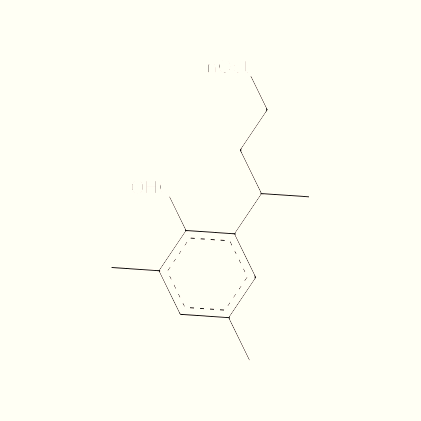 CCCCCCCCCCC(C)c1cc(C)cc(C)c1C=O